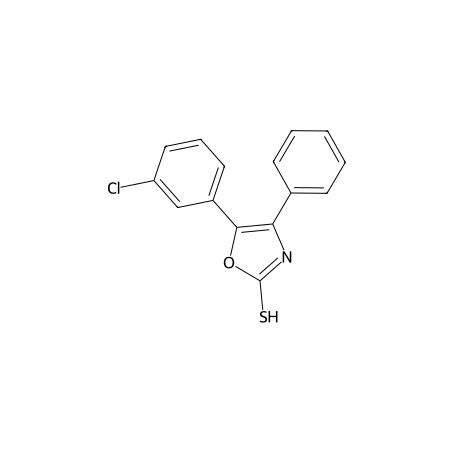 Sc1nc(-c2ccccc2)c(-c2cccc(Cl)c2)o1